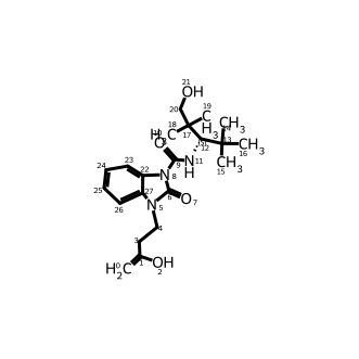 C=C(O)CCn1c(=O)n(C(=O)N[C@@H](C(C)(C)C)C(C)(C)CO)c2ccccc21